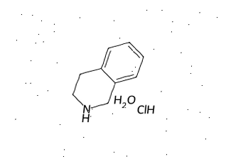 Cl.O.c1ccc2c(c1)CCNC2